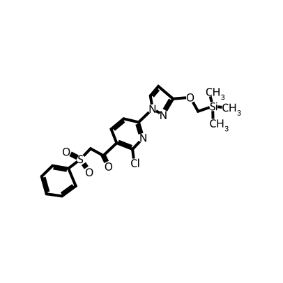 C[Si](C)(C)COc1ccn(-c2ccc(C(=O)CS(=O)(=O)c3ccccc3)c(Cl)n2)n1